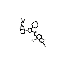 Cc1c(CNC2CN(c3ccnc4sc(CC(F)(F)F)cc34)CC2C2CCCCCC2)ccc2[nH]c(C#N)cc12